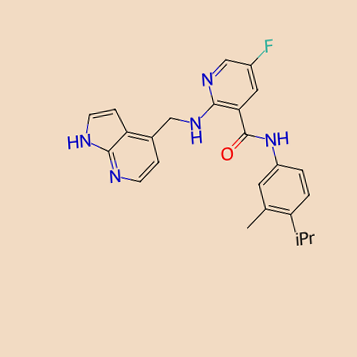 Cc1cc(NC(=O)c2cc(F)cnc2NCc2ccnc3[nH]ccc23)ccc1C(C)C